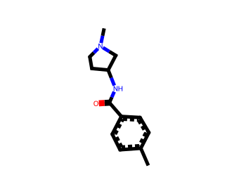 Cc1ccc(C(=O)NC2CCN(C)C2)cc1